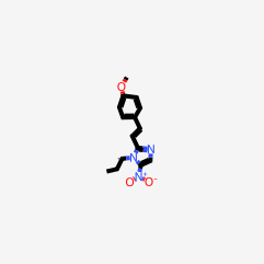 CC[CH]n1c([N+](=O)[O-])cnc1C=Cc1ccc(OC)cc1